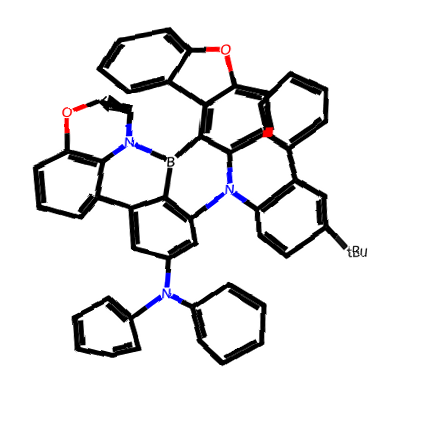 CC(C)(C)c1ccc(N2c3cc(N(c4ccccc4)c4ccccc4)cc4c3B(c3c2ccc2oc5ccccc5c32)N2c3ccccc3Oc3cccc-4c32)c(-c2ccccc2)c1